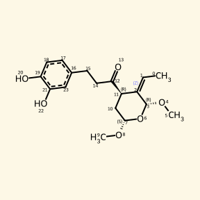 C/C=C1\[C@H](OC)O[C@H](OC)C[C@H]1C(=O)CCc1ccc(O)c(O)c1